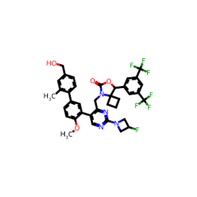 COc1ccc(-c2ccc(CO)cc2C)cc1-c1cnc(N2CC(F)C2)nc1CN1C(=O)OC(c2cc(C(F)(F)F)cc(C(F)(F)F)c2)C12CCC2